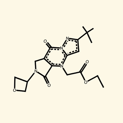 CCOC(=O)Cn1c2c(c(=O)n3nc(C(C)(C)C)cc13)CN(C1COC1)C2=O